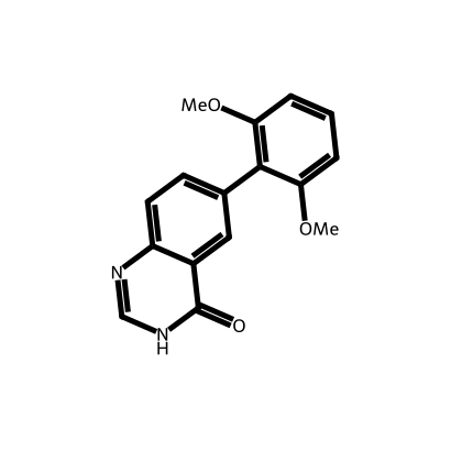 COc1cccc(OC)c1-c1ccc2nc[nH]c(=O)c2c1